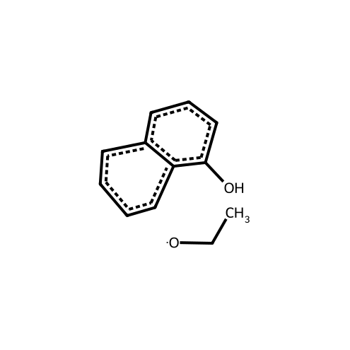 CC[O].Oc1cccc2ccccc12